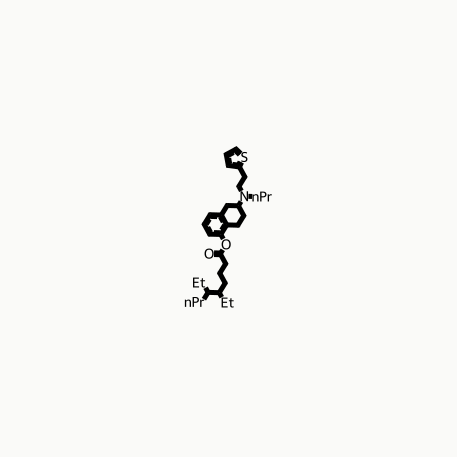 CCCC(CC)C(CC)CCCC(=O)Oc1cccc2c1CCC(N(CCC)CCc1cccs1)C2